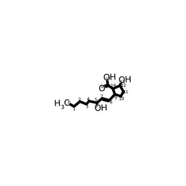 CCCCCC(O)C=CC1CCC(O)C1C(=O)O